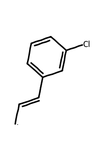 [CH2]/C=C/c1cccc(Cl)c1